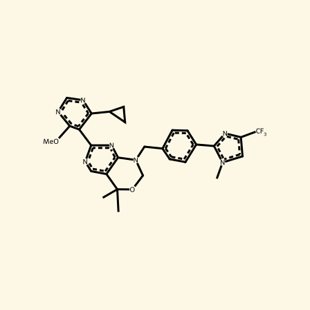 COc1ncnc(C2CC2)c1-c1ncc2c(n1)N(Cc1ccc(-c3nc(C(F)(F)F)cn3C)cc1)COC2(C)C